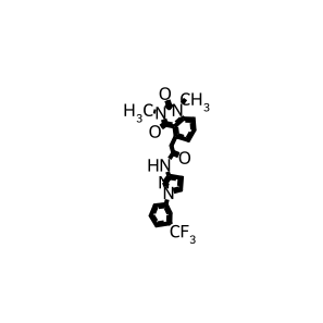 Cn1c(=O)c2c(CC(=O)Nc3ccn(-c4cccc(C(F)(F)F)c4)n3)cccc2n(C)c1=O